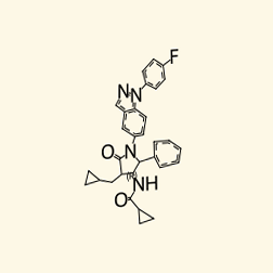 O=C(N[C@@H]1C(CC2CC2)C(=O)N(c2ccc3c(cnn3-c3ccc(F)cc3)c2)C1c1ccccc1)C1CC1